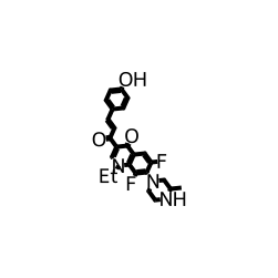 CCn1cc(C(=O)/C=C/c2ccc(O)cc2)c(=O)c2cc(F)c(N3CCNC(C)C3)c(F)c21